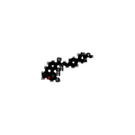 COc1ncc(-c2ccc(CCNC(=O)c3ccc4c(c3O)[C@]35CCN(C)[C@H](C4)[C@]3(O)CCC(=O)C5)cc2)cn1